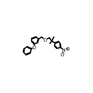 CC(C)(COCc1cccc(Oc2ccccc2)c1)c1ccc([N+](=O)[O-])cc1